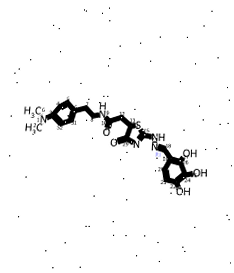 CN(C)c1ccc(CCNC(=O)CC2SC(N/N=C/c3ccc(O)c(O)c3O)=NC2=O)cc1